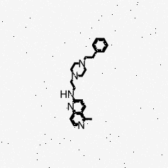 Cc1nccc2nc(NCCN3CCN(CCc4ccccc4)CC3)ccc12